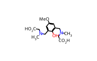 COc1cc(CN(C)CC(=O)O)c(O)c(CN(C)CC(=O)O)c1